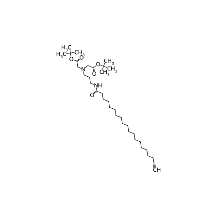 C#CCCCCCCCCCCCCCCCCCC(=O)NCCCN(CC(=O)OC(C)(C)C)CC(=O)OC(C)(C)C